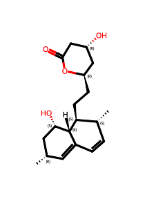 C[C@@H]1C=CC2=C[C@H](C)C[C@H](O)[C@@H]2[C@H]1CC[C@@H]1C[C@@H](O)CC(=O)O1